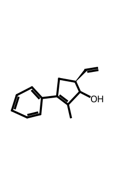 C=C[C@@H]1CC(c2ccccc2)=C(C)C1O